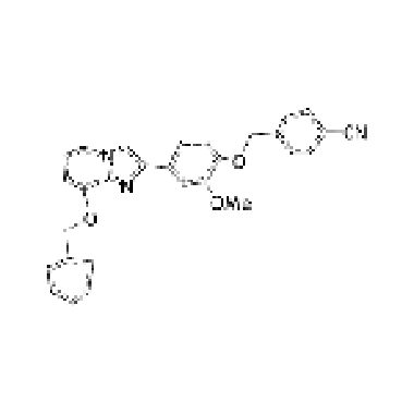 COc1cc(-c2cn3cccc(OCc4ccccc4)c3n2)ccc1OCc1ccc(C#N)cc1